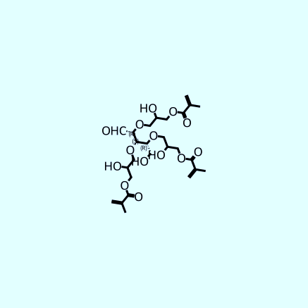 C=C(C)C(=O)OCC(O)CO[C@H]([C@H](C=O)OCC(O)COC(=O)C(=C)C)[C@@H](CO)OCC(O)COC(=O)C(=C)C